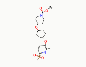 Cc1nc(S(C)(=O)=O)ccc1O[C@H]1CC[C@H](OC2CCN(C(=O)OC(C)C)CC2)CC1